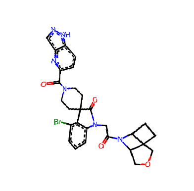 O=C(c1ccc2[nH]ncc2n1)N1CCC2(CC1)C(=O)N(CC(=O)N1C3CCC34COCC14)c1cccc(Br)c12